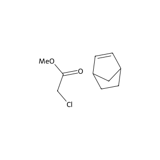 C1=CC2CCC1C2.COC(=O)CCl